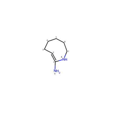 N/C1=C\CCCCCN1